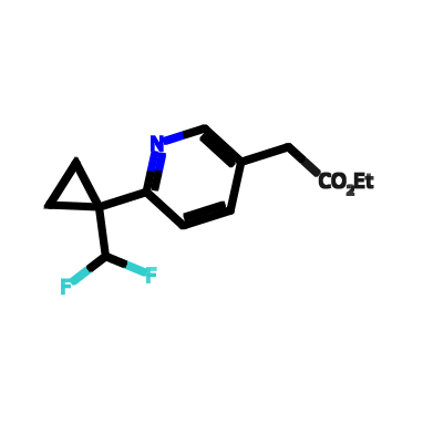 CCOC(=O)Cc1ccc(C2(C(F)F)CC2)nc1